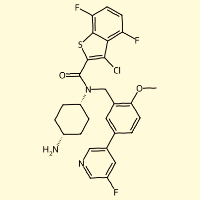 COc1ccc(-c2cncc(F)c2)cc1CN(C(=O)c1sc2c(F)ccc(F)c2c1Cl)[C@H]1CC[C@@H](N)CC1